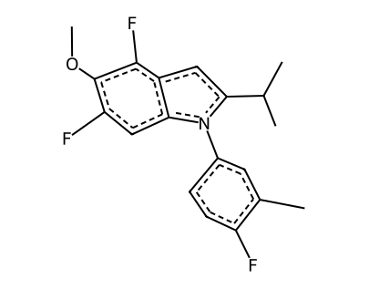 COc1c(F)cc2c(cc(C(C)C)n2-c2ccc(F)c(C)c2)c1F